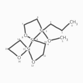 CCC[Si]1(OC)CCO[Si]12CCO[Si]21CCO1